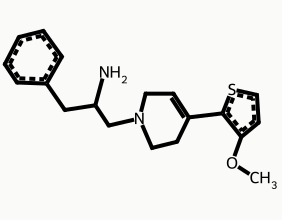 COc1ccsc1C1=CCN(CC(N)Cc2ccccc2)CC1